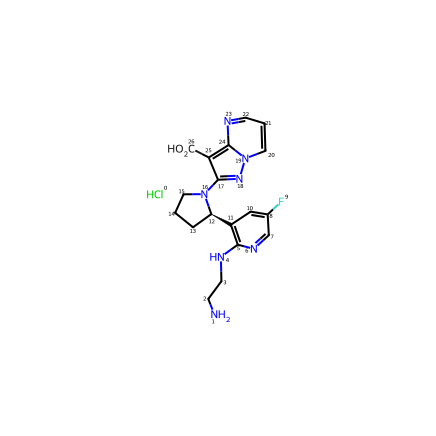 Cl.NCCNc1ncc(F)cc1[C@H]1CCCN1c1nn2cccnc2c1C(=O)O